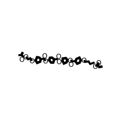 C=CC(=O)OCCCCOc1ccc(C(=O)Oc2ccc(OC(=O)c3ccc(OC(=O)c4ccc(OCCOC(=O)C(=C)C)cc4)cc3)cc2)cc1